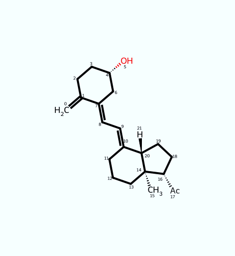 C=C1CC[C@H](O)CC1=CC=C1CCC[C@]2(C)[C@@H](C(C)=O)CC[C@@H]12